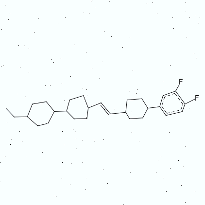 CCC1CCC(C2CCC(C=CC3CCC(c4ccc(F)c(F)c4)CC3)CC2)CC1